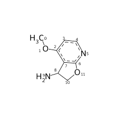 COc1ccnc2c1C(N)CO2